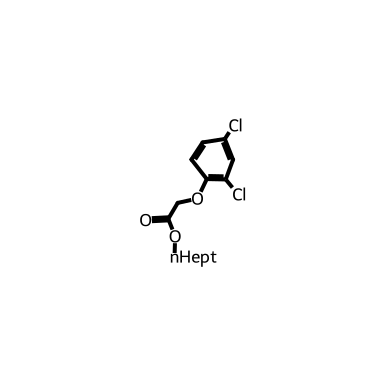 CCCCCCCOC(=O)COc1ccc(Cl)cc1Cl